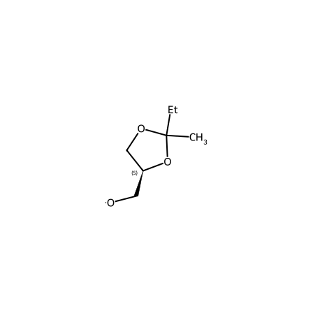 CCC1(C)OC[C@H](C[O])O1